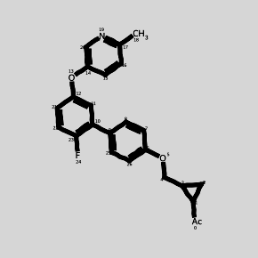 CC(=O)C1CC1COc1ccc(-c2cc(Oc3ccc(C)nc3)ccc2F)cc1